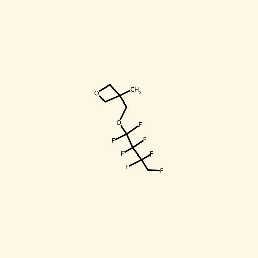 CC1(COC(F)(F)C(F)(F)C(F)(F)CF)COC1